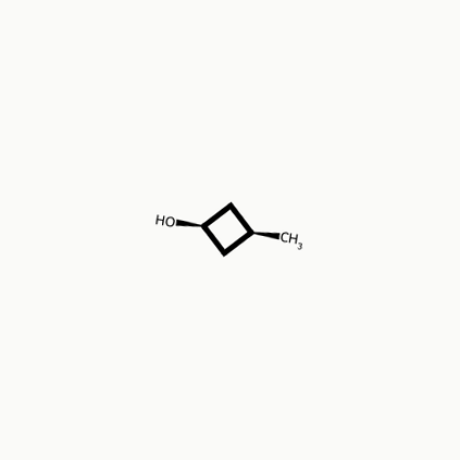 C[C@H]1C[C@@H](O)C1